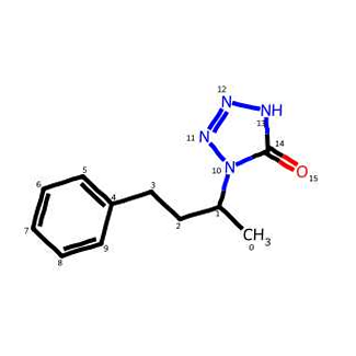 CC(CCc1ccccc1)n1nn[nH]c1=O